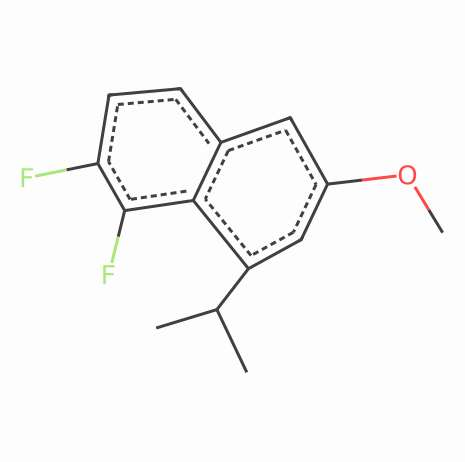 COc1cc(C(C)C)c2c(F)c(F)ccc2c1